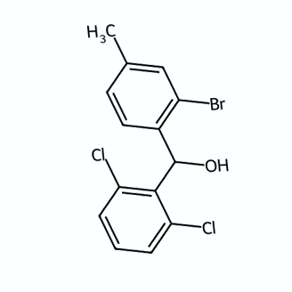 Cc1ccc(C(O)c2c(Cl)cccc2Cl)c(Br)c1